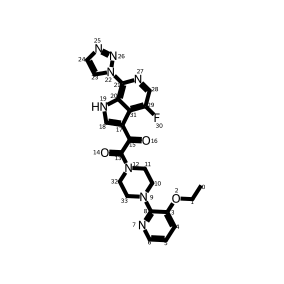 CCOc1cccnc1N1CCN(C(=O)C(=O)c2c[nH]c3c(-n4ccnn4)ncc(F)c23)CC1